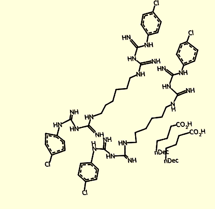 CCCCCCCCCCCCCC(=O)O.CCCCCCCCCCCCCC(=O)O.N=C(NCCCCCCNC(=N)NC(=N)Nc1ccc(Cl)cc1)NC(=N)Nc1ccc(Cl)cc1.N=C(NCCCCCCNC(=N)NC(=N)Nc1ccc(Cl)cc1)NC(=N)Nc1ccc(Cl)cc1